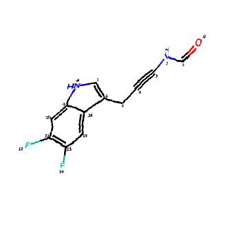 O=CNC#CCc1c[nH]c2cc(F)c(F)cc12